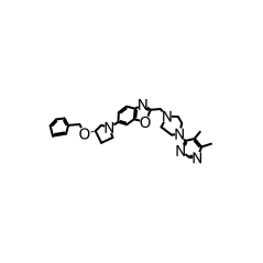 Cc1ncnc(N2CCN(Cc3nc4ccc(N5CC[C@H](OCc6ccccc6)C5)cc4o3)CC2)c1C